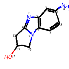 Nc1ccc2c(c1)nc1n2CC(O)C1